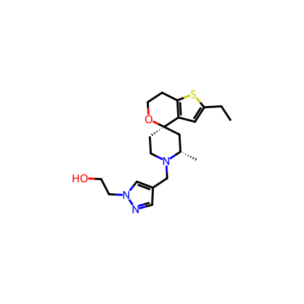 CCc1cc2c(s1)CCO[C@@]21CCN(Cc2cnn(CCO)c2)[C@@H](C)C1